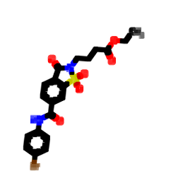 CCOC(=O)CCCN1C(=O)c2ccc(C(=O)Nc3ccc(Br)cc3)cc2S1(=O)=O